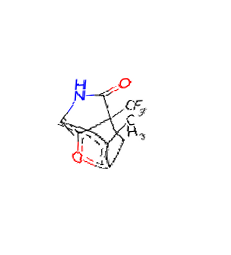 Cc1c2oc3c1NC(=O)C3(C(F)(F)F)C2